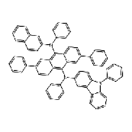 c1ccc(-c2ccc3c(N(c4ccccc4)c4ccc5c(c4)c4ccccc4n5-c4ccccc4)c4cc(-c5ccccc5)ccc4c(N(c4ccccc4)c4ccc5ccccc5c4)c3c2)cc1